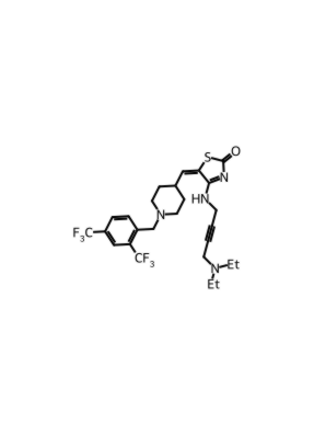 CCN(CC)CC#CCNC1=NC(=O)SC1=CC1CCN(Cc2ccc(C(F)(F)F)cc2C(F)(F)F)CC1